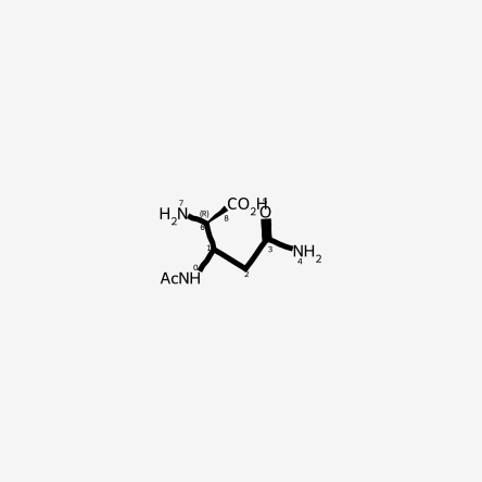 CC(=O)NC(CC(N)=O)[C@@H](N)C(=O)O